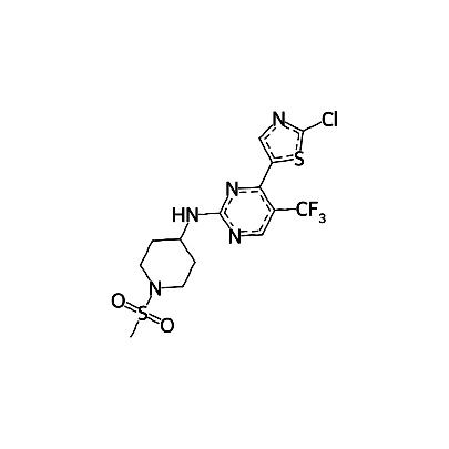 CS(=O)(=O)N1CCC(Nc2ncc(C(F)(F)F)c(-c3cnc(Cl)s3)n2)CC1